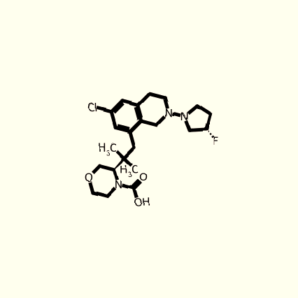 CC(C)(Cc1cc(Cl)cc2c1CN(N1CC[C@H](F)C1)CC2)[C@@H]1COCCN1C(=O)O